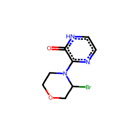 O=c1[nH]ccnc1N1CCOCC1Br